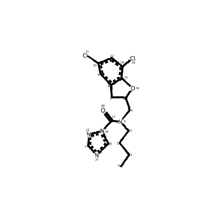 CCCCN(CC1Cc2cc(Cl)cc(Cl)c2O1)C(=O)n1cncn1